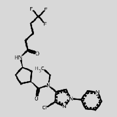 CCN(C(=O)[C@H]1CC[C@@H](NC(=O)CCCC(F)(F)F)C1)c1cn(-c2cccnc2)nc1Cl